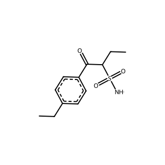 CCc1ccc(C(=O)C(CC)S([NH])(=O)=O)cc1